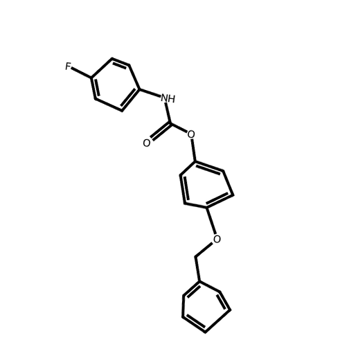 O=C(Nc1ccc(F)cc1)Oc1ccc(OCc2ccccc2)cc1